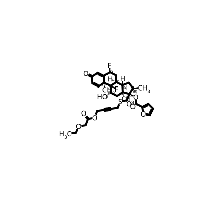 CCOCC(=O)OCC#CCSC(=O)[C@@]1(OC(=O)c2ccco2)[C@H](C)C[C@H]2[C@@H]3C[C@H](F)C4=CC(=O)C=C[C@]4(C)[C@@]3(F)[C@@H](O)C[C@@]21C